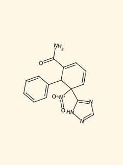 NC(=O)C1=CC=CC(c2ncn[nH]2)([N+](=O)[O-])C1c1ccccc1